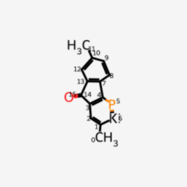 C[C]1=CC2=C([P]=[K]1)c1ccc(C)cc1C2=O